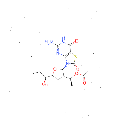 CC[C@H](O)C1C[C@@H]([C@H](C)OC(C)=O)[C@H](n2c(=O)sc3c(=O)[nH]c(N)nc32)O1